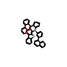 c1cc(-c2cccc3ccccc23)cc(N(c2ccccc2-c2cc3ccccc3c3ccccc23)c2cccc3c2sc2ccccc23)c1